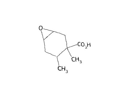 CC1CC2OC2CC1(C)C(=O)O